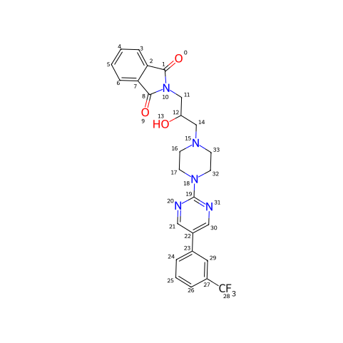 O=C1c2ccccc2C(=O)N1CC(O)CN1CCN(c2ncc(-c3cccc(C(F)(F)F)c3)cn2)CC1